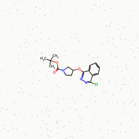 CC(C)(C)OC(=O)N1CCC(Oc2nnc(Cl)c3ccccc23)C1